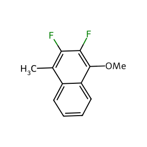 COc1c(F)c(F)c(C)c2ccccc12